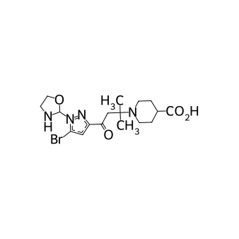 CC(C)(CC(=O)c1cc(Br)n(C2NCCO2)n1)N1CCC(C(=O)O)CC1